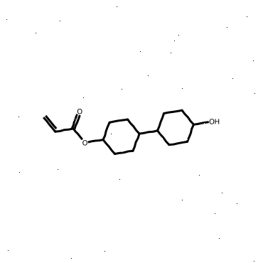 C=CC(=O)OC1CCC(C2CCC(O)CC2)CC1